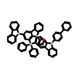 c1ccc(-c2ccc(-n3c4ccccc4c4ccc(-n5c6ccccc6c6cc(-n7c8ccccc8c8ccccc87)cc([Si](c7ccccc7)(c7ccccc7)c7ccccc7)c65)cc43)cc2)cc1